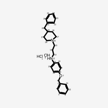 Cl.Cl.c1ccc(COc2ccc(NCCCN3CCC(Cc4ccccc4)CC3)cc2)cc1